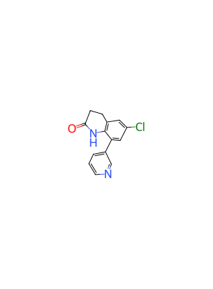 O=C1CCc2cc(Cl)cc(-c3cccnc3)c2N1